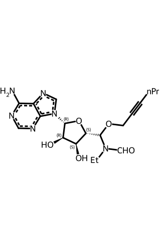 CCCC#CCOC([C@H]1O[C@@H](n2cnc3c(N)ncnc32)[C@H](O)[C@@H]1O)N(C=O)CC